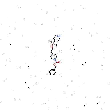 [2H]C([2H])(OCCC1CCN(C(=O)OCc2ccccc2)CC1)C1CCNCC1